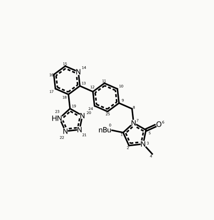 CCCCc1cn(C)c(=O)n1Cc1ccc(-c2ncccc2-c2nnn[nH]2)cc1